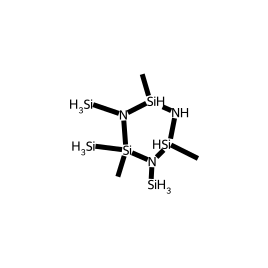 C[SiH]1N[SiH](C)N([SiH3])[Si](C)([SiH3])N1[SiH3]